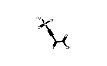 CP(=O)(O)C#CC(=O)C(=O)O